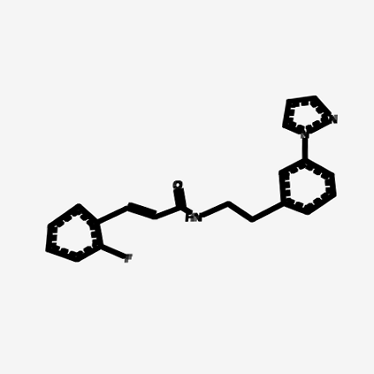 O=C(C=Cc1ccccc1F)NCCc1cccc(-n2cccn2)c1